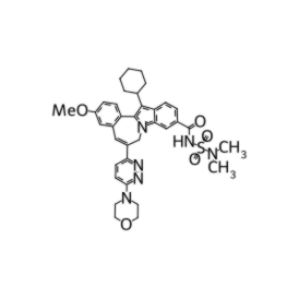 COc1ccc2c(c1)C=C(c1ccc(N3CCOCC3)nn1)Cn1c-2c(C2CCCCC2)c2ccc(C(=O)NS(=O)(=O)N(C)C)cc21